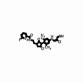 Cc1cc(N/C=C(/Cl)C=N)cc(C)c1C1C(=O)CC(CCNC(=O)c2cccc(F)n2)C1=O